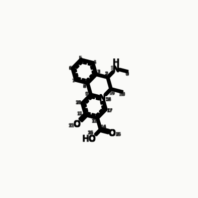 CNC1c2ccccc2-c2cc(=O)c(C(=O)O)cn2C1C